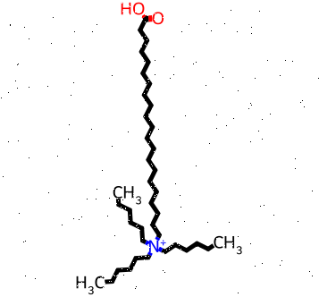 CCCCCC[N+](CCCCCC)(CCCCCC)CCCCCCCCCCCCCCCCCCCCC(=O)O